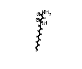 CCCCCCCCCCNC(=O)CC(N)=O